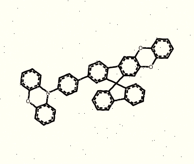 c1ccc2c(c1)Oc1cc3c(cc1O2)C1(c2ccccc2-c2ccccc21)c1cc(-c2ccc(N4c5ccccc5Oc5ccccc54)cc2)ccc1-3